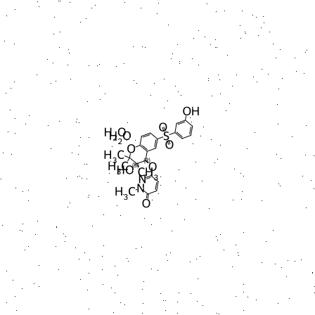 Cn1nc(O[C@@H]2c3cc(S(=O)(=O)c4cccc(O)c4)ccc3OC(C)(C)[C@@]2(C)O)ccc1=O.O.O